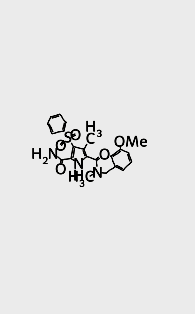 COc1cccc(CN(C)C(=O)c2[nH]c(C(N)=O)c(S(=O)(=O)c3ccccc3)c2C)c1